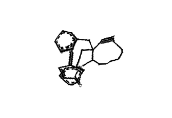 O=C1C=CC(=O)N1C1CCCCC#CC1(Cc1ccccc1)Cc1ccccc1